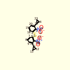 O=[N+]([O-])c1c(Sc2cccc(C3CC3)c2[N+](=O)[O-])cccc1C1CC1